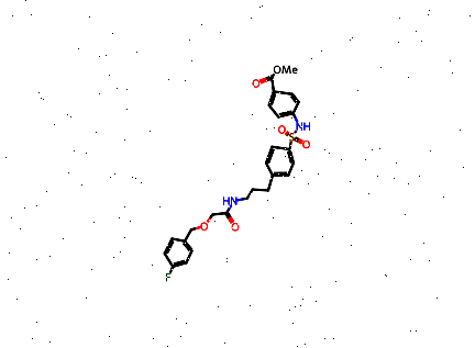 COC(=O)c1ccc(NS(=O)(=O)c2ccc(CCCNC(=O)COCc3ccc(F)cc3)cc2)cc1